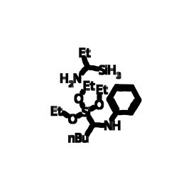 CCC(N)[SiH3].CCCCC(Nc1ccccc1)[Si](OCC)(OCC)OCC